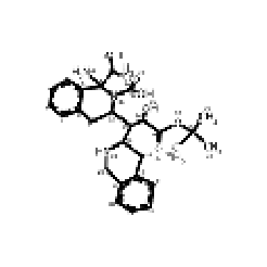 CC(O)C1(N)c2ccccc2CC(C(C2Cc3ccccc3CN2)C(O)C(=O)OC(C)(C)C)N1C(=O)O